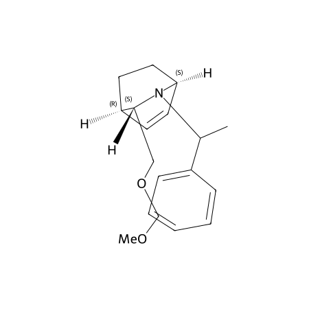 COCOC[C@@H]1[C@H]2C=C[C@H](CC2)N1C(C)c1ccccc1